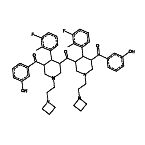 Cc1c(F)cccc1C1C(C(=O)c2cccc(O)c2)CN(CCN2CCC2)CC1C(=O)C1CN(CCN2CCC2)CC(C(=O)c2cccc(O)c2)C1c1cccc(F)c1C